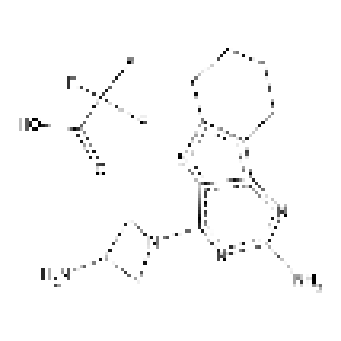 Nc1nc(N2CC(N)C2)c2sc3c(c2n1)CCCC3.O=C(O)C(F)(F)F